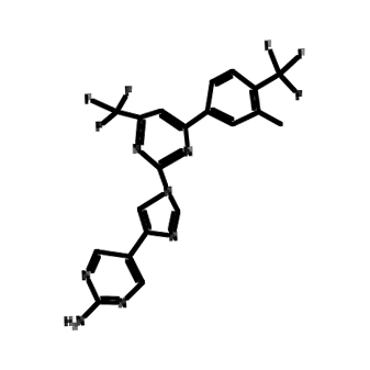 Cc1cc(-c2cc(C(F)(F)F)nc(-n3cnc(-c4cnc(N)nc4)c3)n2)ccc1C(F)(F)F